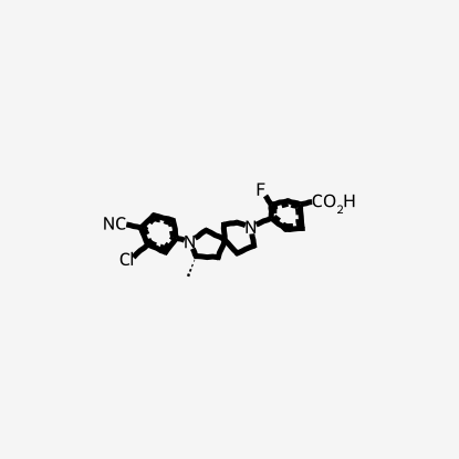 C[C@H]1CC2(CCN(c3ccc(C(=O)O)cc3F)CC2)CN1c1ccc(C#N)c(Cl)c1